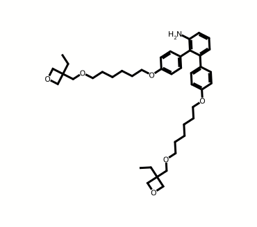 CCC1(COCCCCCCOc2ccc(-c3cccc(N)c3-c3ccc(OCCCCCCOCC4(CC)COC4)cc3)cc2)COC1